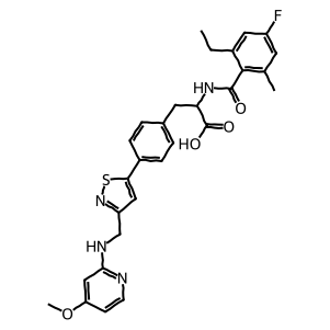 CCc1cc(F)cc(C)c1C(=O)NC(Cc1ccc(-c2cc(CNc3cc(OC)ccn3)ns2)cc1)C(=O)O